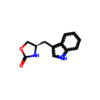 O=C1N[C@@H](Cc2c[nH]c3ccccc23)CO1